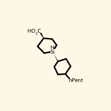 CCCCCC1CCC([Si@H]2CC[C@H](C(=O)O)CC2)CC1